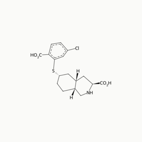 O=C(O)c1ccc(Cl)cc1S[C@H]1CC[C@H]2CN[C@H](C(=O)O)C[C@H]2C1